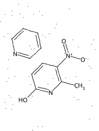 Cc1nc(O)ccc1[N+](=O)[O-].c1ccncc1